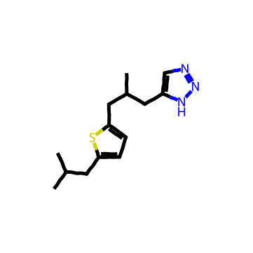 CC(C)Cc1ccc(CC(C)Cc2cnn[nH]2)s1